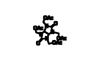 CC(=O)OCN1C(=O)N(COC(C)=O)C2C1N(COC(C)=O)C(=O)N2COC(C)=O